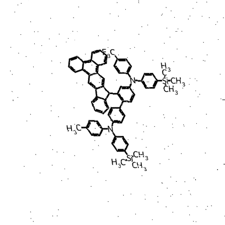 Cc1ccc(N(c2ccc(-c3ccc(N(c4ccc(C(F)(F)F)cc4)c4ccc([Si](C)(C)C)cc4)cc3C3c4ccccc4-c4cc5c6ccccc6c6ccccc6c5cc43)cc2)c2ccc([Si](C)(C)C)cc2)cc1